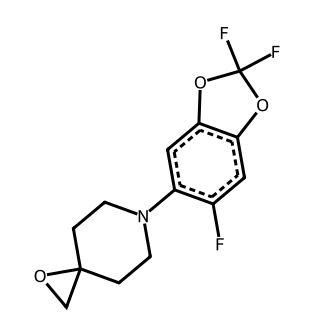 Fc1cc2c(cc1N1CCC3(CC1)CO3)OC(F)(F)O2